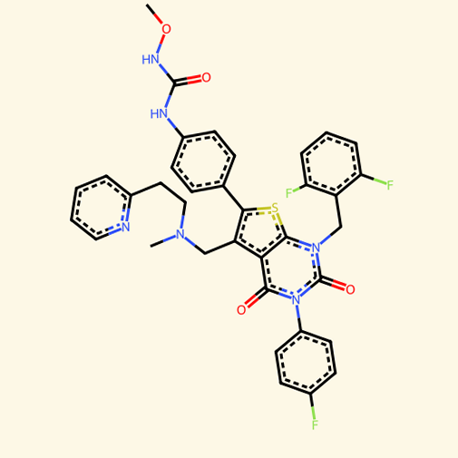 CONC(=O)Nc1ccc(-c2sc3c(c2CN(C)CCc2ccccn2)c(=O)n(-c2ccc(F)cc2)c(=O)n3Cc2c(F)cccc2F)cc1